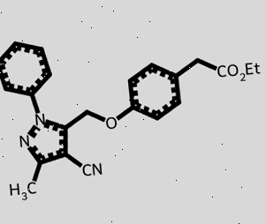 CCOC(=O)Cc1ccc(OCc2c(C#N)c(C)nn2-c2ccccc2)cc1